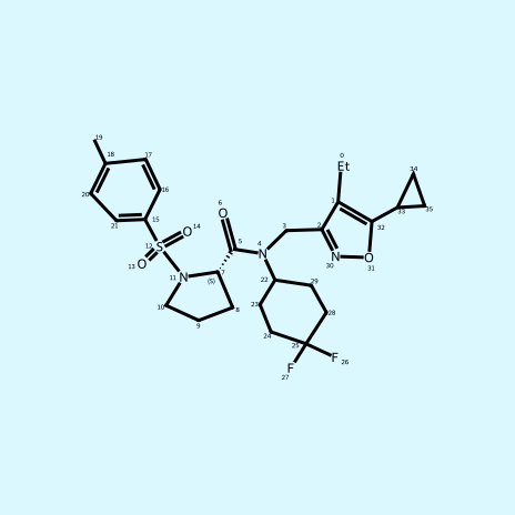 CCc1c(CN(C(=O)[C@@H]2CCCN2S(=O)(=O)c2ccc(C)cc2)C2CCC(F)(F)CC2)noc1C1CC1